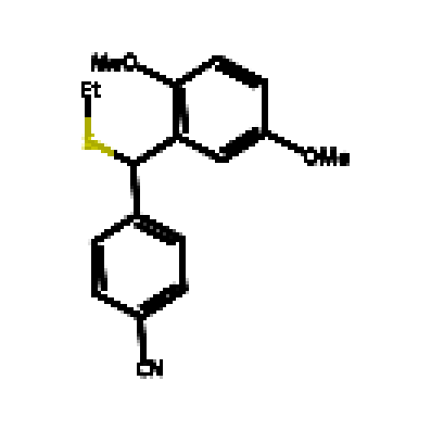 CCSC(c1ccc(C#N)cc1)c1cc(OC)ccc1OC